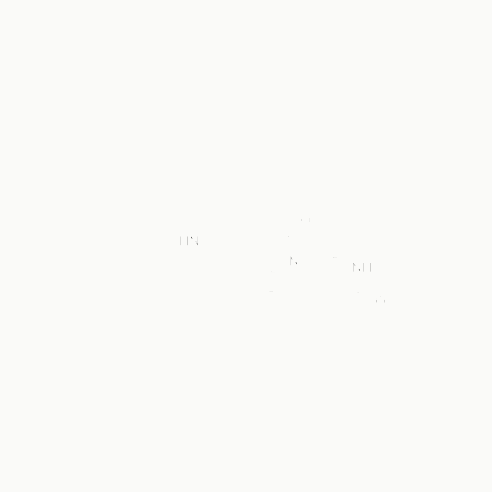 C=CCCCNc1ccc2c(c1)C(=O)N(C1CCC(=O)NC1=O)C2=O